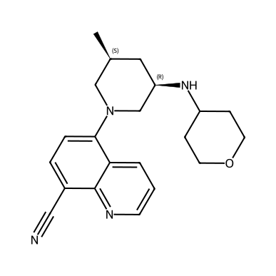 C[C@H]1C[C@@H](NC2CCOCC2)CN(c2ccc(C#N)c3ncccc23)C1